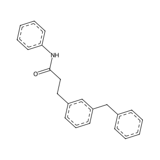 O=C(CCc1cccc(Cc2ccccc2)c1)Nc1ccccc1